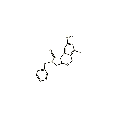 COc1cc(C)c2c(c1)C1C(=O)N(Cc3ccccc3)CC1OC2